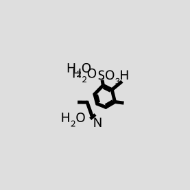 CCC#N.Cc1cccc(S(=O)(=O)O)c1C.O.O.O